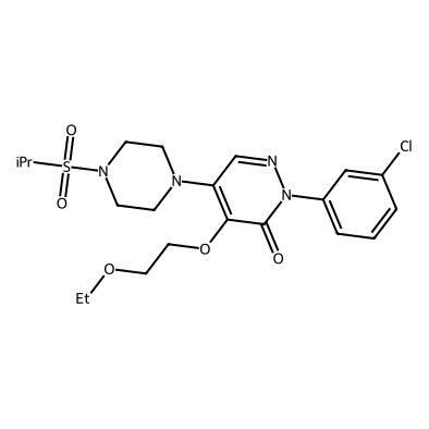 CCOCCOc1c(N2CCN(S(=O)(=O)C(C)C)CC2)cnn(-c2cccc(Cl)c2)c1=O